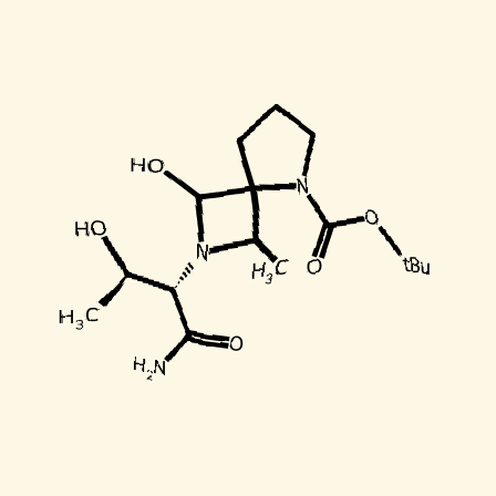 CC1N([C@H](C(N)=O)[C@@H](C)O)C(O)C12CCCN2C(=O)OC(C)(C)C